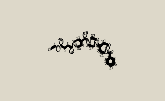 CCOC(=O)CCC(=O)N1CCC(C(=O)N2CCN(C3CCN(Cc4ccccc4)CC3)CC2)CC1